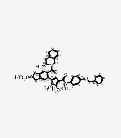 Cc1c(C(=O)N(C)c2ccc(OCc3ccccc3)cc2)cc(-c2cc3c(cc2C(=O)N2Cc4ccccc4C[C@H]2C)CN(C(=O)O)C3)n1C